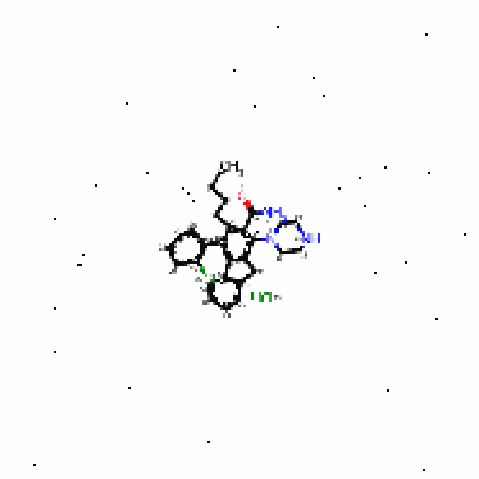 CCCCc1c(C(N)=O)c(N2CCNCC2)c2c(c1-c1ccccc1Cl)-c1ccccc1C2.Cl